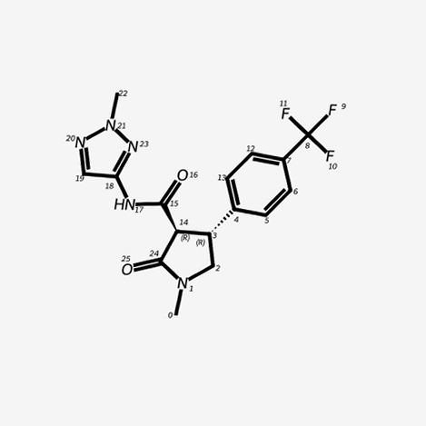 CN1C[C@@H](c2ccc(C(F)(F)F)cc2)[C@H](C(=O)Nc2cnn(C)n2)C1=O